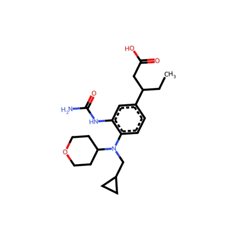 CCC(CC(=O)O)c1ccc(N(CC2CC2)C2CCOCC2)c(NC(N)=O)c1